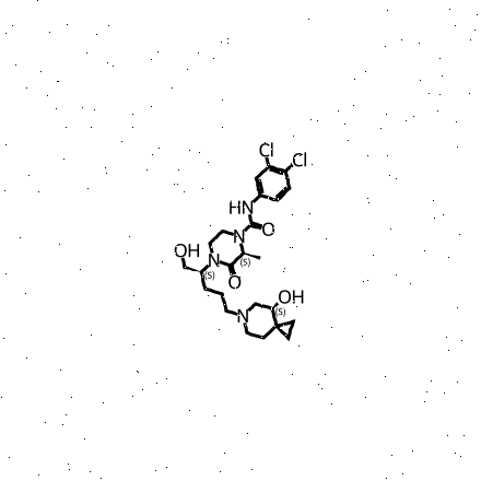 C[C@H]1C(=O)N([C@H](CO)CCCN2CCC3(CC3)[C@H](O)C2)CCN1C(=O)Nc1ccc(Cl)c(Cl)c1